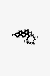 O=C1C=c2ccc3c4c(ccc3c2=CC1)C(C1CCNNCCCCNCN1)=CCC4